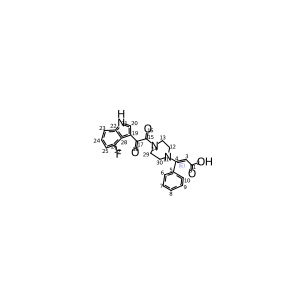 O=C(O)/C=C(\c1ccccc1)N1CCN(C(=O)C(=O)c2c[nH]c3cccc(F)c23)CC1